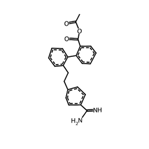 CC(=O)OC(=O)c1ccccc1-c1ccccc1CCc1ccc(C(=N)N)cc1